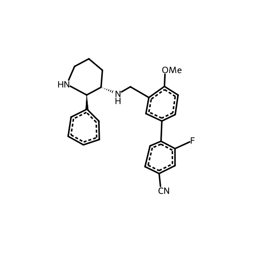 COc1ccc(-c2ccc(C#N)cc2F)cc1CN[C@H]1CCCN[C@@H]1c1ccccc1